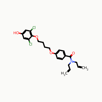 C=CCN(CC=C)C(=O)c1ccc(OCCCCOc2c(Cl)cc(O)cc2Cl)cc1